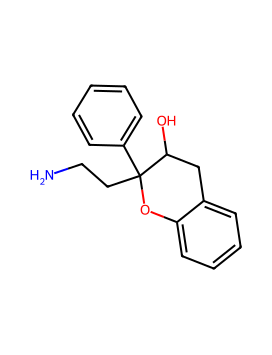 NCCC1(c2ccccc2)Oc2ccccc2CC1O